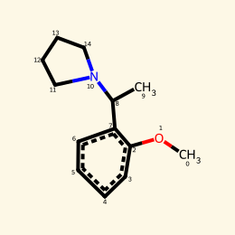 COc1ccccc1C(C)N1CCCC1